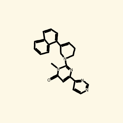 Cn1c(N2CCC=C(c3cccc4ccccc34)C2)nc(-c2ccncn2)cc1=O